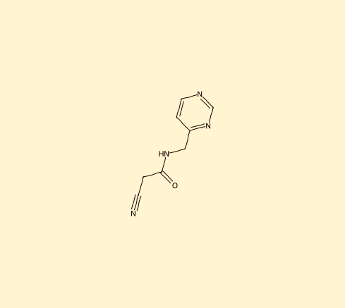 N#CCC(=O)NCc1ccncn1